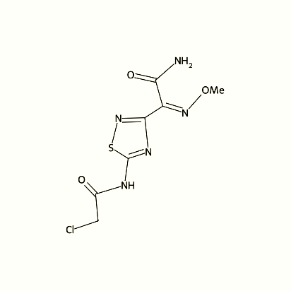 CO/N=C(\C(N)=O)c1nsc(NC(=O)CCl)n1